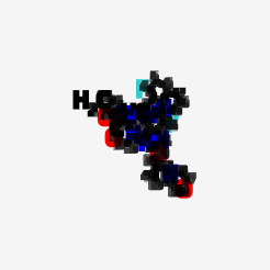 C#Cc1c(F)ccc2c1N(c1ncc3c(N4CCOC[C@H](NC(=O)C=C)C4)nc(OCC4(CN5CCOCC5)CC4)nc3c1F)CCC2